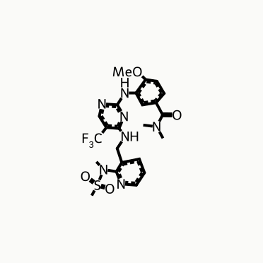 COc1ccc(C(=O)N(C)C)cc1Nc1ncc(C(F)(F)F)c(NCc2cccnc2N(C)S(C)(=O)=O)n1